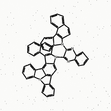 c1ccc2c(c1)ccc1c2c2ccccc2n1-c1nc2ccccc2nc1-n1c2ccc3ccccc3c2c2c3c4ccccc4n4c5ccccc5c(cc21)c34